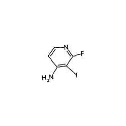 Nc1ccnc(F)c1I